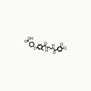 COc1ccc(C(=O)NCCNC(=O)c2ccc(O[C@H]3CC[C@@H](C(=O)O)CC3)cc2C)cc1Cl